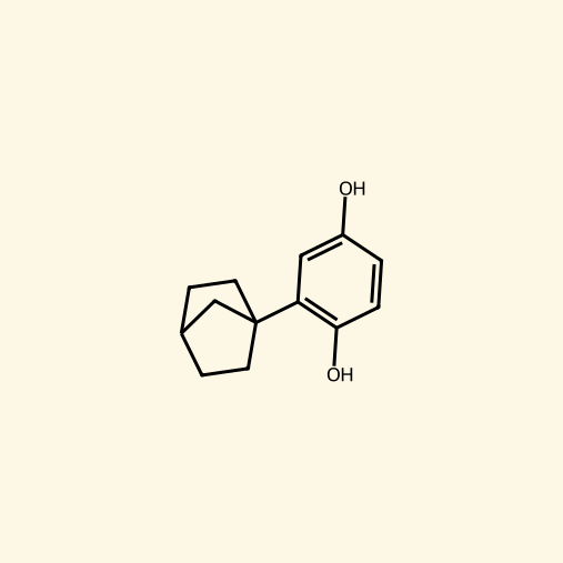 Oc1ccc(O)c(C23CCC(CC2)C3)c1